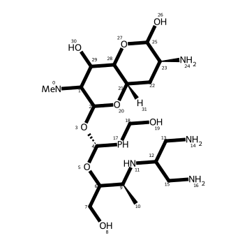 CNC1C(O[C@@H](OC(CO)[C@H](C)NC(CN)CN)PCO)O[C@H]2C[C@H](N)C(O)OC2C1O